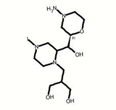 NN1CCO[C@@H](C(O)C2CN(I)CCN2CC(CO)CO)C1